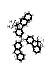 CC1(C)c2ccccc2-c2cc(N(c3ccc4c(c3)-c3ccccc3C4)c3ccc4c(c3)-c3cc5ccccc5cc3C4(C)C)ccc21